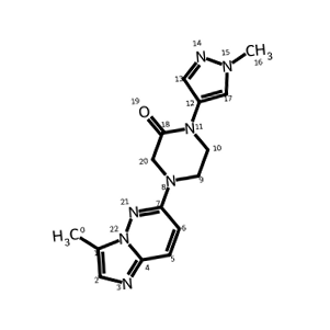 Cc1cnc2ccc(N3CCN(c4cnn(C)c4)C(=O)C3)nn12